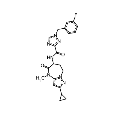 CN1C(=O)[C@@H](NC(=O)c2ncn(Cc3cccc(F)c3)n2)CCn2nc(C3CC3)cc21